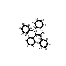 CC(=C(c1ccccc1)N(c1ccccc1)c1ccccc1)c1ccccc1